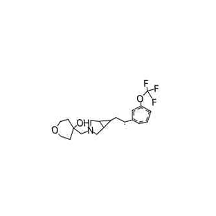 OC1(CN2CC3C(C[CH]c4cccc(OC(F)(F)F)c4)C3C2)CCOCC1